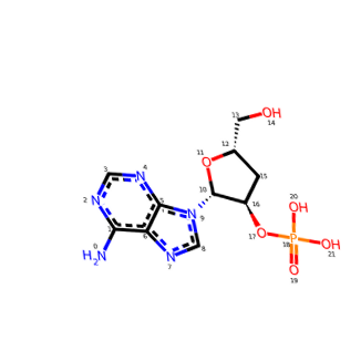 Nc1ncnc2c1ncn2[C@@H]1O[C@H](CO)C[C@H]1OP(=O)(O)O